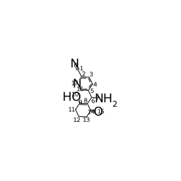 N#Cc1ccc(C(N)C2=C(O)CCCC2=O)cn1